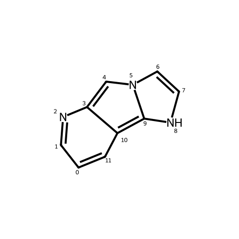 c1cnc2cn3cc[nH]c3c2c1